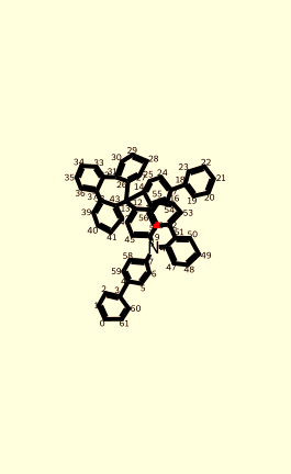 c1ccc(-c2ccc(N(c3ccc(C4(c5ccc(-c6ccccc6)cc5)c5ccccc5-c5ccccc5-c5ccccc54)cc3)c3ccccc3-c3ccccc3)cc2)cc1